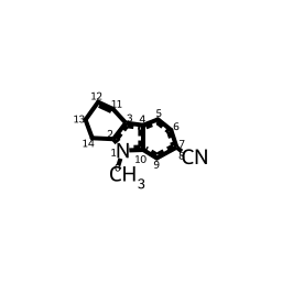 Cn1c2c(c3ccc(C#N)cc31)C=CCC2